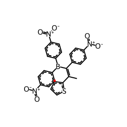 C/C(=C(/B(c1ccc([N+](=O)[O-])cc1)c1ccc([N+](=O)[O-])cc1)c1ccc([N+](=O)[O-])cc1)c1cccs1